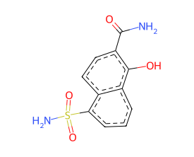 NC(=O)c1ccc2c(S(N)(=O)=O)cccc2c1O